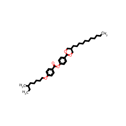 CCCCCCCCCCCC1COC(c2ccc(OC(=O)c3ccc(OCCCCCC(C)CC)cc3)cc2)OC1